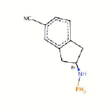 N#Cc1ccc2c(c1)C[C@H](NP)C2